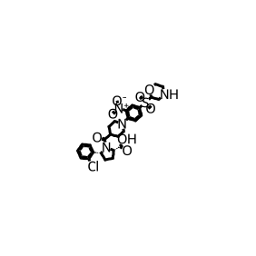 O=C(O)[C@@H]1CC[C@H](c2ccccc2Cl)N1C(=O)C1CCN(c2ccc(S(=O)(=O)C3CNCCO3)cc2[N+](=O)[O-])CC1